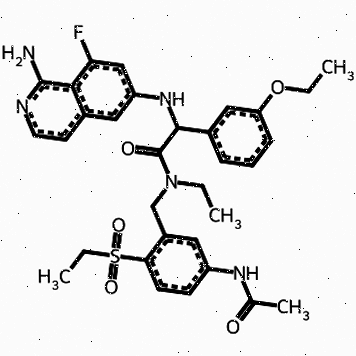 CCOc1cccc(C(Nc2cc(F)c3c(N)nccc3c2)C(=O)N(CC)Cc2cc(NC(C)=O)ccc2S(=O)(=O)CC)c1